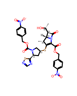 C[C@@H](O)[C@H]1C(=O)N2C(C(=O)OCc3ccc([N+](=O)[O-])cc3)=C(S[C@H]3C[C@@H](c4ncns4)N(C(=O)OCc4ccc([N+](=O)[O-])cc4)C3)[C@H](C)[C@H]12